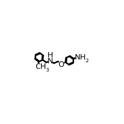 Cc1ccccc1CNCCOc1ccc(N)cc1